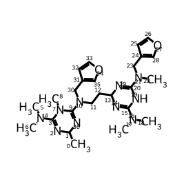 CC1N=C(N(C)C)N(C)C(N(CCC2N=C(N(C)C)NC(N(C)Cc3ccoc3)=N2)Cc2ccoc2)=N1